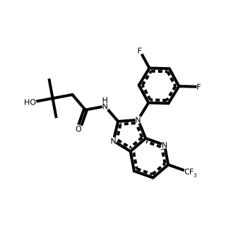 CC(C)(O)CC(=O)Nc1nc2ccc(C(F)(F)F)nc2n1-c1cc(F)cc(F)c1